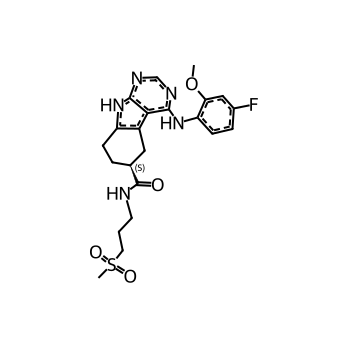 COc1cc(F)ccc1Nc1ncnc2[nH]c3c(c12)C[C@@H](C(=O)NCCCS(C)(=O)=O)CC3